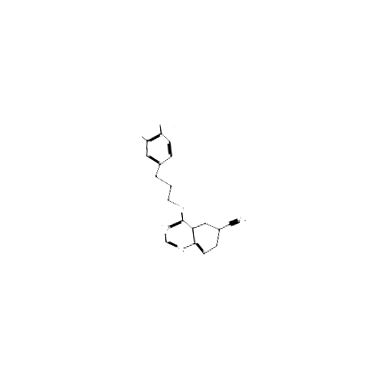 Bc1ccc(CCCNC2=NC=NC3=CCC(C#N)CC32)cc1B